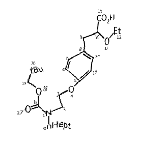 CCCCCCCN(CCOc1ccc(CC(OCC)C(=O)O)cc1)C(=O)OCC(C)(C)C